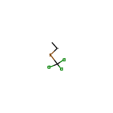 C[CH]SC(Cl)(Cl)Cl